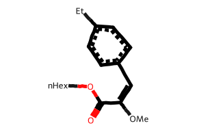 CCCCCCOC(=O)C(=Cc1ccc(CC)cc1)OC